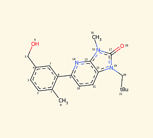 Cc1ccc(CO)cc1-c1ccc2c(n1)n(C)c(=O)n2CC(C)(C)C